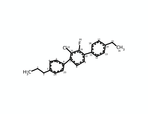 CCCc1ccc(-c2ccc(-c3ccc(CC)cc3)c(F)c2Cl)cc1